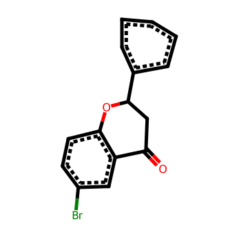 O=C1CC(c2ccccc2)Oc2ccc(Br)cc21